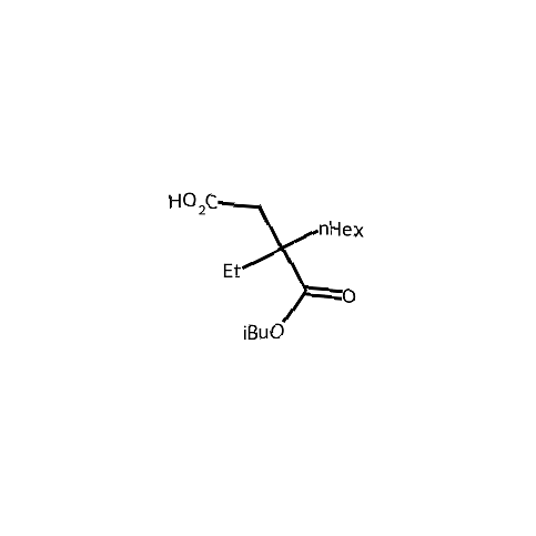 CCCCCCC(CC)(CC(=O)O)C(=O)OCC(C)C